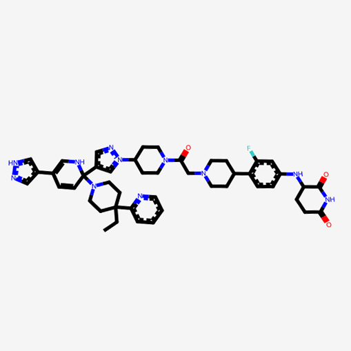 CCC1(c2ccccn2)CCN(C2(c3cnn(C4CCN(C(=O)CN5CCC(c6ccc(NC7CCC(=O)NC7=O)cc6F)CC5)CC4)c3)C=CC(c3cn[nH]c3)=CN2)CC1